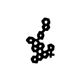 CC1(C)c2ccccc2-c2c(-c3ccc(N(c4ccc(-c5ccc6ccccc6c5)cc4)c4ccccc4-c4ccc(-c5cccc6ccccc56)cc4)cc3)cccc21